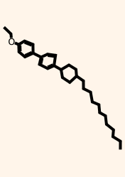 CCCCCCCCCCCCC1CCC(c2ccc(-c3ccc(OCC)cc3)cc2)CC1